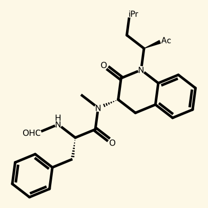 CC(=O)[C@H](CC(C)C)N1C(=O)[C@@H](N(C)C(=O)[C@H](Cc2ccccc2)NC=O)Cc2ccccc21